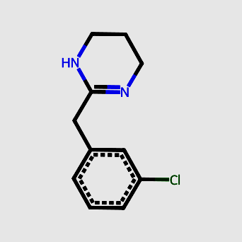 Clc1cccc(CC2=NCCCN2)c1